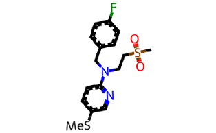 CSc1ccc(N(CCS(C)(=O)=O)Cc2ccc(F)cc2)nc1